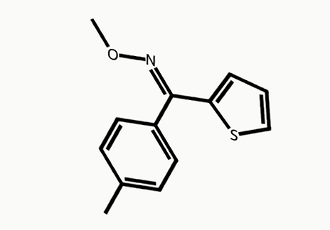 CO/N=C(\c1ccc(C)cc1)c1cccs1